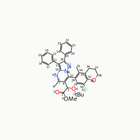 COC(=O)C(OC(C)(C)C)c1c(C)nc2c(-c3ccccc3)c(-c3ccccc3)nn2c1-c1cc(F)c2c(c1C)CCCO2